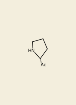 CC(=O)[C@H]1CCCN1